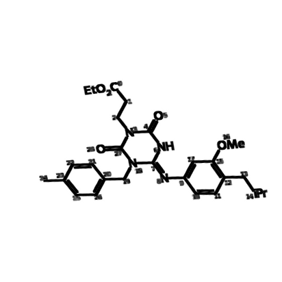 CCOC(=O)CCn1c(=O)[nH]/c(=N\c2ccc(CC(C)C)c(OC)c2)n(Cc2ccc(C)cc2)c1=O